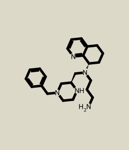 NCCCN(C[C@@H]1CN(Cc2ccccc2)CCN1)[C@H]1CCCc2cccnc21